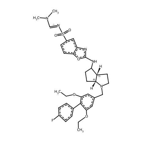 CCOc1cc(CN2CC[C@H]3C(Nc4nc5cc(S(=O)(=O)/N=C/N(C)C)ccc5o4)CC[C@H]32)cc(OCC)c1-c1ccc(F)cc1